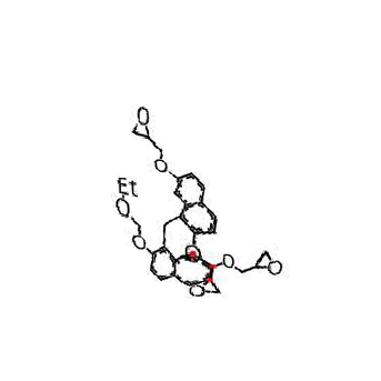 CCOCOc1ccc2ccc(OCC3CO3)cc2c1Cc1c(OCC2CO2)ccc2ccc(OCC3CO3)cc12